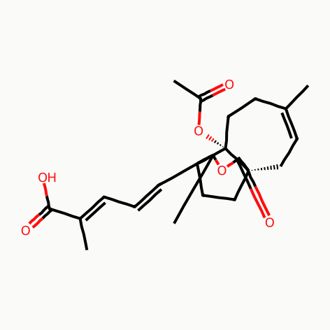 CC(=O)O[C@]12CCC(C)=CC[C@]13CCC2C(C)(/C=C/C=C(\C)C(=O)O)OC3=O